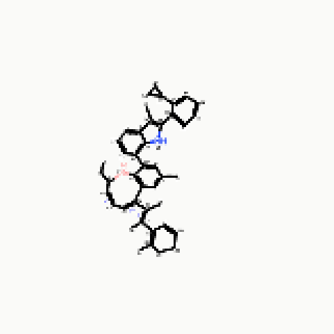 CCC1Bc2c(cc(C)cc2-c2cccc3c(C)c(-c4ccccc4C4CC4)[nH]c23)C(/C(C)=C(\C)C2=C(C)CCC=C2)=C\C=C/1